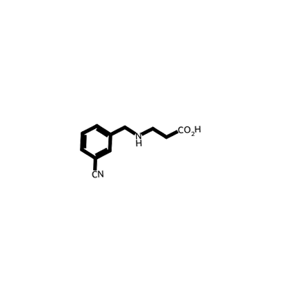 N#Cc1cccc(CNCCC(=O)O)c1